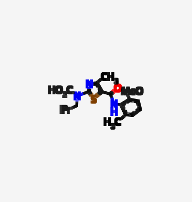 COc1cccc(C)c1NC(=O)c1sc(N(CC(C)C)C(=O)O)nc1C